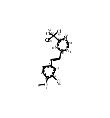 COc1ccc(C=Cc2ncnc(C(Cl)(Cl)Cl)n2)cc1Cl